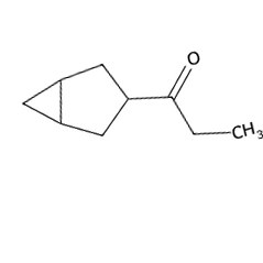 CCC(=O)C1CC2CC2C1